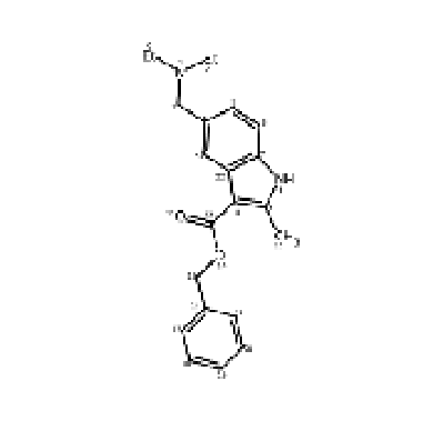 CCN(CC)Cc1ccc2[nH]c(C)c(C(=O)OCc3ccccc3)c2c1